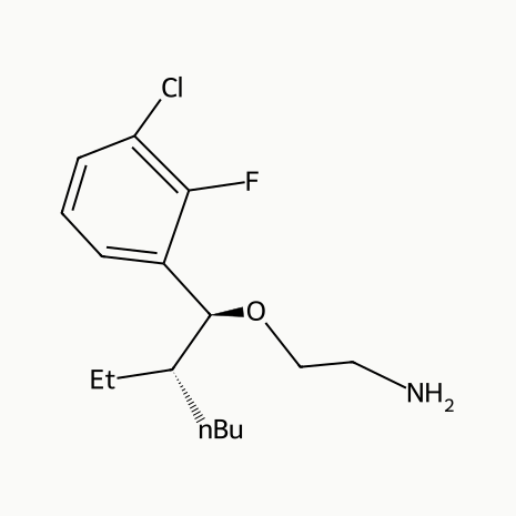 CCCC[C@H](CC)[C@H](OCCN)c1cccc(Cl)c1F